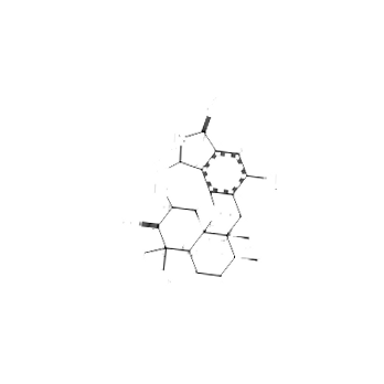 C[C@H]1CC[C@H]2C(C)(C)C(=O)C(O)C[C@]23Oc2c(c(Cl)cc4c2C(O)NC4=O)C[C@]13C